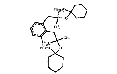 CCCCCC1(OC(C)(C)Cc2cccc(O)c2CC(C)(C)OC2(CCCCC)CCCCC2)CCCCC1